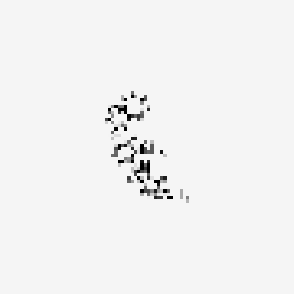 CCC(NC1CCCCCC1)Oc1ccc(-c2cn3ccc(C)cc3n2)c(C)c1